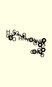 CC(CCN1C(=O)C=CC1=O)OCCCC(=O)NCCN1CCN(CC(=O)Nc2ccc(-c3cccc4c(=O)cc(N5CCOCC5)oc34)c3sc4ccccc4c23)CC1